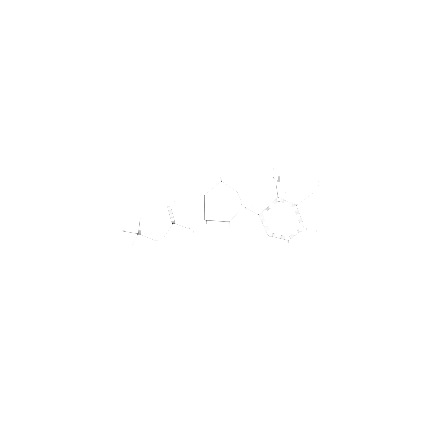 CC(C)(C)OC(=O)N[C@@H]1CCCN(c2ccnc(Cl)c2N)C1